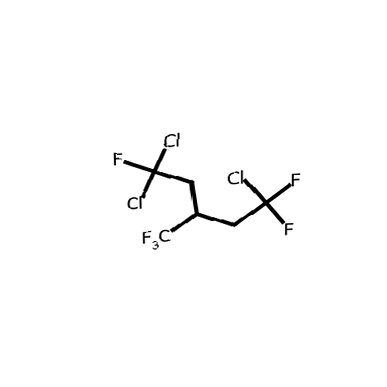 FC(F)(Cl)CC(CC(F)(Cl)Cl)C(F)(F)F